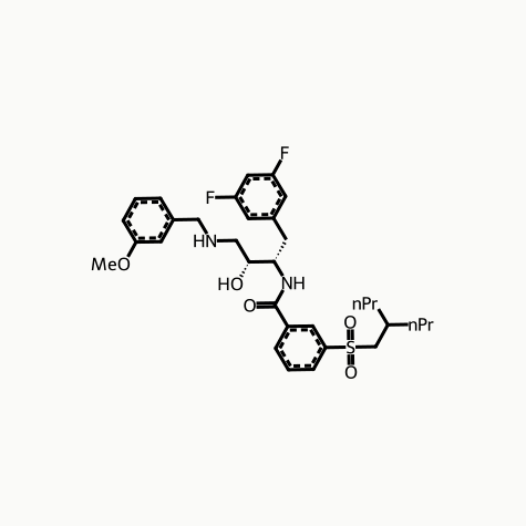 CCCC(CCC)CS(=O)(=O)c1cccc(C(=O)N[C@@H](Cc2cc(F)cc(F)c2)[C@H](O)CNCc2cccc(OC)c2)c1